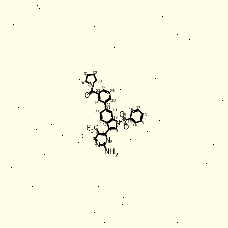 Nc1ncc(C(F)(F)F)c(-c2cn(S(=O)(=O)c3ccccc3)c3cc(-c4cccc(C(=O)N5CCCC5)c4)ccc23)n1